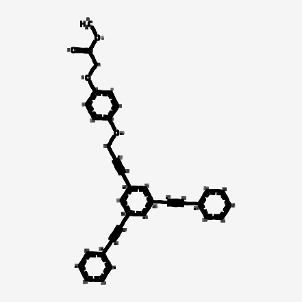 COC(=O)COc1ccc(OCC#Cc2cc(C#Cc3ccccc3)cc(C#Cc3ccccc3)c2)cc1